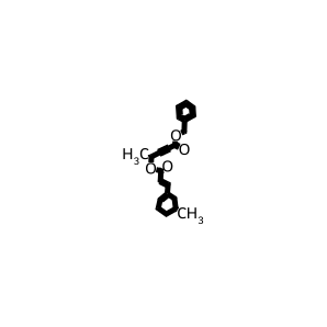 CC1CCC=C(/C=C/C(=O)O[C@H](C)C#CC(=O)OCc2ccccc2)C1